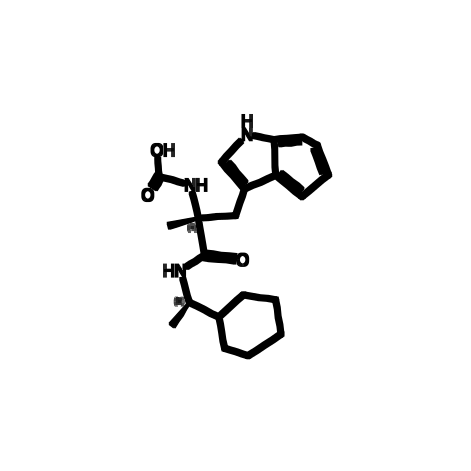 C[C@@H](NC(=O)[C@@](C)(Cc1c[nH]c2ccccc12)NC(=O)O)C1CCCCC1